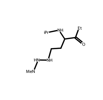 CCC(=O)C(CCNNNC)NC(C)C